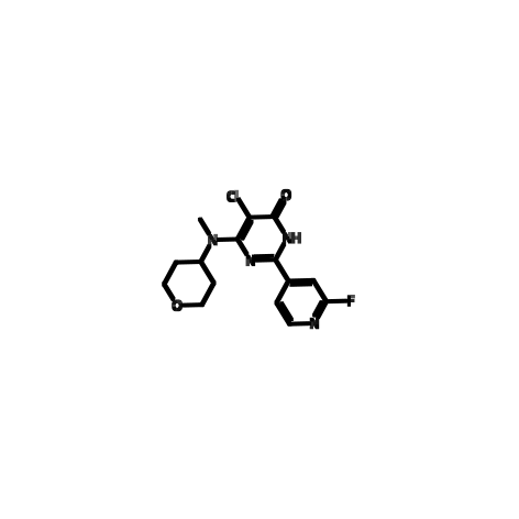 CN(c1nc(-c2ccnc(F)c2)[nH]c(=O)c1Cl)C1CCOCC1